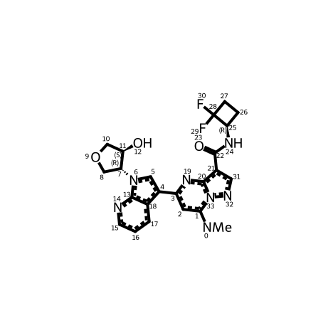 CNc1cc(-c2cn([C@@H]3COC[C@H]3O)c3ncccc23)nc2c(C(=O)N[C@@H]3CCC3(F)F)cnn12